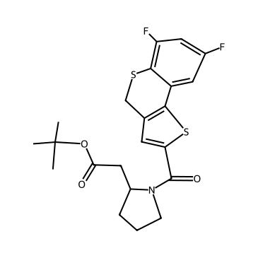 CC(C)(C)OC(=O)CC1CCCN1C(=O)c1cc2c(s1)-c1cc(F)cc(F)c1SC2